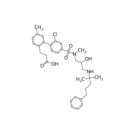 Cc1ccc(CCC(=O)O)c(-c2ccc(S(=O)(=O)N(C)CC(O)CNC(C)(C)CCCc3ccccc3)cc2Cl)c1